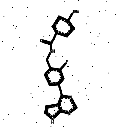 CC(C)(C)c1ccc(C(=O)NCc2ccc(-c3ncnc4[nH]ccc34)cc2F)cc1